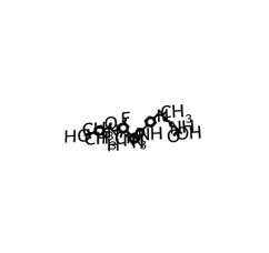 Cc1c(NC(=O)c2ccc(C(C)(C)O)cc2F)cc(F)cc1-c1ncnc2[nH]c(-c3ccc(CN(C)CCCNC(=O)O)cc3)cc12